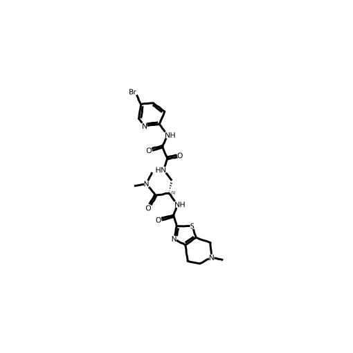 CN1CCc2nc(C(=O)N[C@@H](CNC(=O)C(=O)Nc3ccc(Br)cn3)C(=O)N(C)C)sc2C1